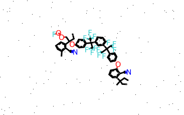 CCC(C)(CC)c1cccc(Oc2ccc(C(c3cccc(C(c4ccc(OC(CC)(COOF)c5cccc(C)c5C#N)cc4)(C(F)(F)F)C(F)(F)F)c3)(C(F)(F)F)C(F)(F)F)cc2)c1C#N